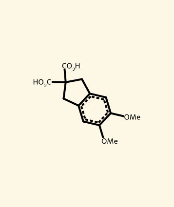 COc1cc2c(cc1OC)CC(C(=O)O)(C(=O)O)C2